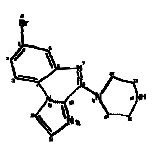 Brc1ccc2c(c1)nc(N1CCNCC1)c1nccn12